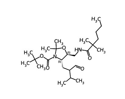 CCCCC(C)(C)C(=O)NC[C@@H]1OC(C)(C)N(C(=O)OC(C)(C)C)[C@H]1CC(C=O)C(C)C